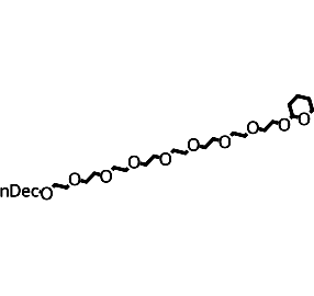 CCCCCCCCCCOCCOCCOCCOCCOCCOCCOCCOCCOC1CCCCO1